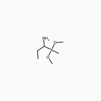 CCC(N)[Si](C)(OC)OC